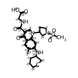 CS(=O)(=O)N1CCC(n2cc(C(=O)NCC(=O)O)c(=O)c3cc(F)c(NC4CCCCC4)cc32)C1